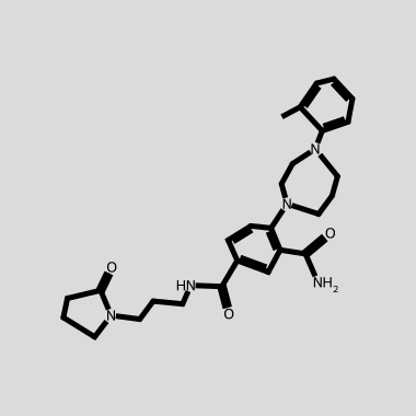 Cc1ccccc1N1CCCN(c2ccc(C(=O)NCCCN3CCCC3=O)cc2C(N)=O)CC1